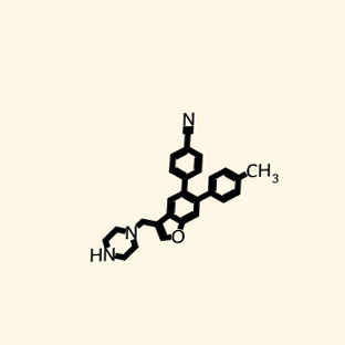 Cc1ccc(-c2cc3occ(CN4CCNCC4)c3cc2-c2ccc(C#N)cc2)cc1